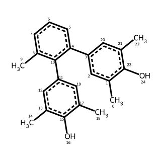 Cc1cc(-c2cccc(C)c2-c2cc(C)c(O)c(C)c2)cc(C)c1O